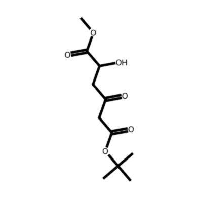 COC(=O)C(O)CC(=O)CC(=O)OC(C)(C)C